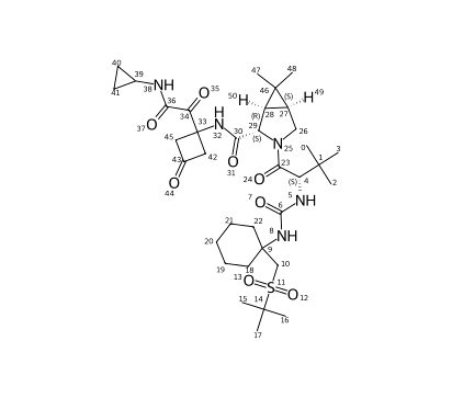 CC(C)(C)[C@H](NC(=O)NC1(CS(=O)(=O)C(C)(C)C)CCCCC1)C(=O)N1C[C@H]2[C@@H]([C@H]1C(=O)NC1(C(=O)C(=O)NC3CC3)CC(=O)C1)C2(C)C